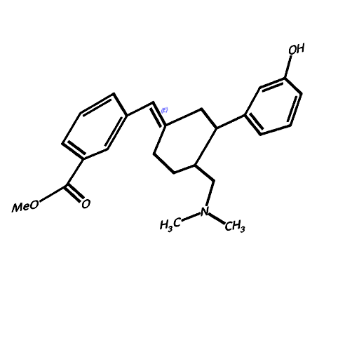 COC(=O)c1cccc(/C=C2\CCC(CN(C)C)C(c3cccc(O)c3)C2)c1